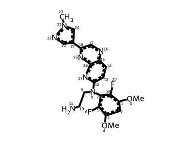 COc1cc(OC)c(F)c(N(CCN)c2ccc3ncc(-c4cnn(C)c4)nc3n2)c1F